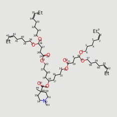 CC/C=C\CCCCOC(CCC(=O)OCCCCC(CCCCOC(=O)CCC(OCCCC/C=C\CC)OCCCC/C=C\CC)OC(=O)C1(C)CCN(C)CC1)OCCCC/C=C\CC